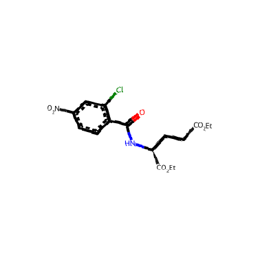 CCOC(=O)CC[C@H](NC(=O)c1ccc([N+](=O)[O-])cc1Cl)C(=O)OCC